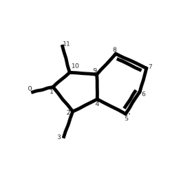 CC1C(C)C2[C]=CC=CC2C1C